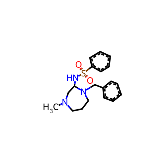 CN1CCCN(Cc2ccccc2)C(NS(=O)(=O)c2ccccc2)C1